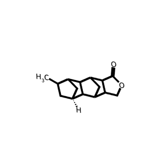 CC1C[C@H]2CC1C1C3CC(C4COC(=O)C43)C12